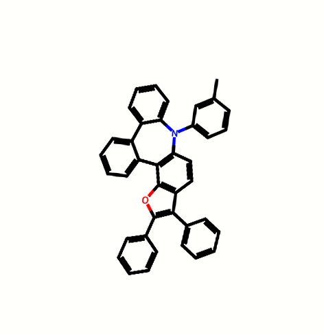 Cc1cccc(N2c3ccccc3-c3ccccc3-c3c2ccc2c(-c4ccccc4)c(-c4ccccc4)oc32)c1